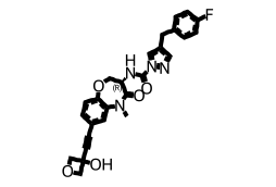 CN1C(=O)[C@H](NC(=O)n2cc(Cc3ccc(F)cc3)cn2)COc2ccc(C#CC3(O)COC3)cc21